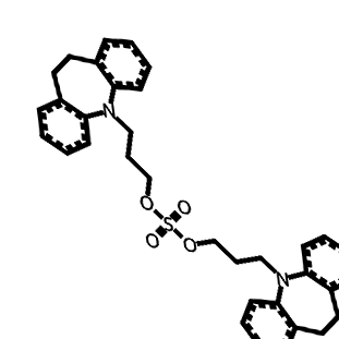 O=S(=O)(OCCCN1c2ccccc2CCc2ccccc21)OCCCN1c2ccccc2CCc2ccccc21